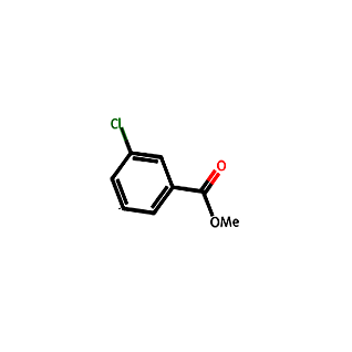 COC(=O)c1c[c]cc(Cl)c1